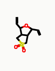 C=CC1OC(C=C)C2CS(=O)(=O)CC12